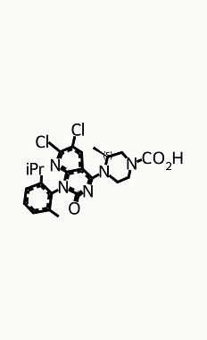 Cc1cccc(C(C)C)c1-n1c(=O)nc(N2CCN(C(=O)O)C[C@@H]2C)c2cc(Cl)c(Cl)nc21